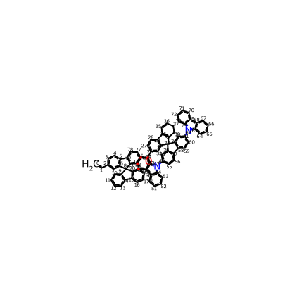 C=Cc1ccc2c(c1)C1(c3ccccc3-c3ccccc31)c1cc(C(=O)c3ccc4c(c3)C3(C5=C4C=CCC5)c4cc(-n5c6ccccc6c6ccccc65)ccc4-c4ccc(-n5c6ccccc6c6ccccc65)cc43)ccc1-2